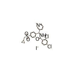 C[n+]1cccc(C(NC(=O)c2ccc(Cl)cc2Cl)c2ccc(S(=O)(=O)CC3CC3)cc2)c1.[I-]